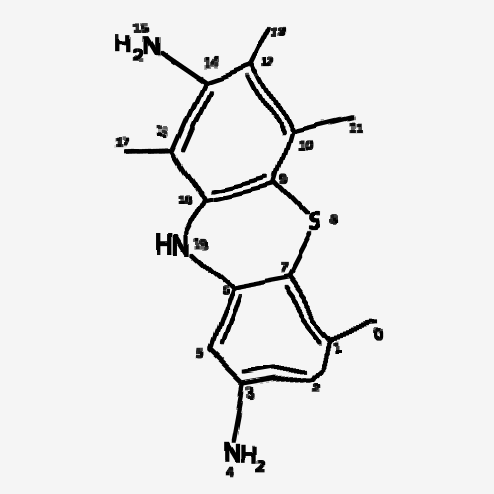 Cc1cc(N)cc2c1Sc1c(C)c(C)c(N)c(C)c1N2